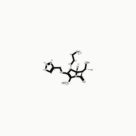 C[C@@H](O)[C@H]1C(=O)N2C(C(=O)O)=C(SCc3csnn3)[C@H](CCCN)[C@H]12